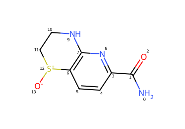 NC(=O)c1ccc2c(n1)NCC[S+]2[O-]